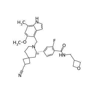 COc1cc(C)c2[nH]ccc2c1CN1CCC2(CC(C#N)C2)C[C@H]1c1ccc(C(=O)NCC2COC2)c(F)c1